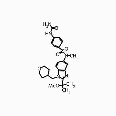 COC(C)(C)c1nc2cc(N(C)S(=O)(=O)c3ccc(NC(N)=O)cc3)ccc2n1CC1CCOCC1